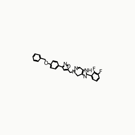 Fc1cccc(-c2nc3c([nH]2)C=NN(Cc2cc(-c4ccc(OCc5ccccc5)cc4)no2)C3)c1F